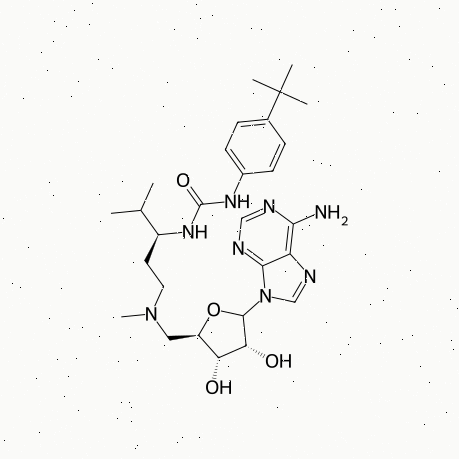 CC(C)[C@H](CCN(C)C[C@H]1OC(n2cnc3c(N)ncnc32)[C@H](O)[C@@H]1O)NC(=O)Nc1ccc(C(C)(C)C)cc1